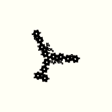 CC1(C)c2cc(-c3ccc4c(c3)oc3ccccc34)ccc2-c2ccc(N(c3ccc(-c4ccc(-n5c6ccccc6c6ccccc65)cc4)cc3)c3ccc4c(c3)C(C)(C)c3cc(-c5ccc6c(c5)oc5ccccc56)ccc3-4)cc21